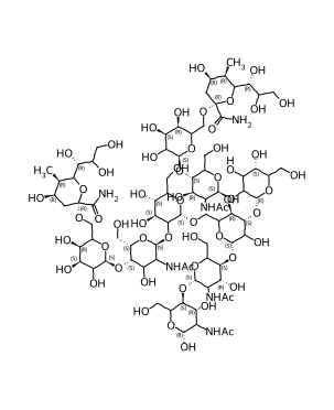 CC(=O)NC1C(O)[C@H](O[C@@H]2OC(CO[C@]3(C(N)=O)C[C@@H](O)[C@@H](C)C([C@H](O)C(O)CO)O3)[C@H](O)[C@H](O)C2O)[C@H](CO)O[C@H]1OC1[C@@H](OCC2O[C@@H](O[C@@H]3C(CO)O[C@@H](O[C@@H]4C(CO)O[C@@H](O)C(NC(C)=O)[C@H]4O)C(NC(C)=O)[C@H]3O)C(O)[C@@H](O[C@H]3OC(CO)[C@@H](O)C(O)C3O[C@@H]3OC(CO)[C@@H](O[C@@H]4OC(CO[C@]5(C(N)=O)C[C@@H](O)[C@@H](C)C([C@H](O)C(O)CO)O5)[C@H](O)[C@H](O)C4O)[C@H](O)C3NC(C)=O)[C@@H]2O)OC(CO)[C@@H](O)[C@@H]1O